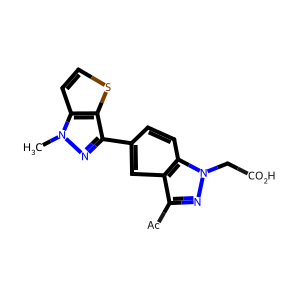 CC(=O)c1nn(CC(=O)O)c2ccc(-c3nn(C)c4ccsc34)cc12